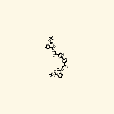 CC(C)(C)OC(=O)N1CCCC1C(=O)OCC(=O)c1cnc(-c2ncc(C(=O)COC(=O)[C@@H]3CCCN3C(=O)OC(C)(C)C)s2)s1